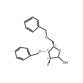 OC1O[C@H](COCc2ccccc2)[C@@H](OCc2ccccc2)[C@@H]1F